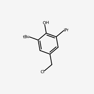 CC(C)c1cc(CCl)cc(C(C)(C)C)c1O